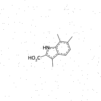 Cc1ccc2c(C)c(C(=O)O)[nH]c2c1C